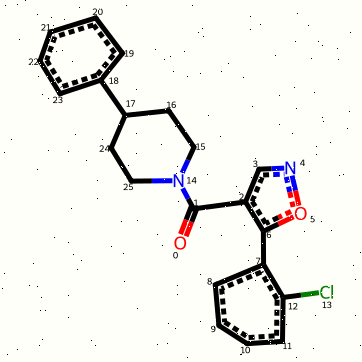 O=C(c1cnoc1-c1ccccc1Cl)N1CCC(c2ccccc2)CC1